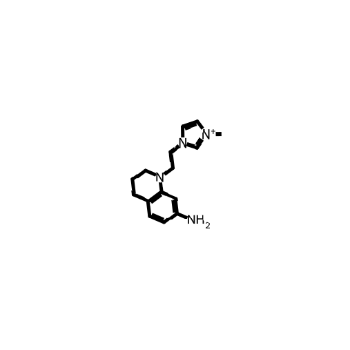 C[n+]1ccn(CCN2CCCc3ccc(N)cc32)c1